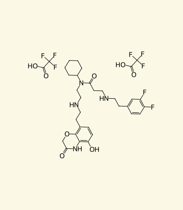 O=C(O)C(F)(F)F.O=C(O)C(F)(F)F.O=C1COc2c(CCNCCN(C(=O)CCNCCc3ccc(F)c(F)c3)C3CCCCC3)ccc(O)c2N1